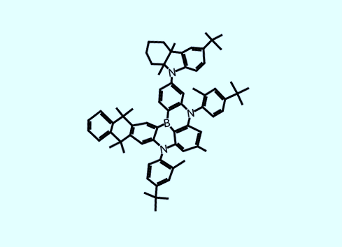 Cc1cc2c3c(c1)N(c1ccc(C(C)(C)C)cc1C)c1cc4c(cc1B3c1ccc(N3c5ccc(C(C)(C)C)cc5C5(C)CCCCC35C)cc1N2c1ccc(C(C)(C)C)cc1C)C(C)(C)c1ccccc1C4(C)C